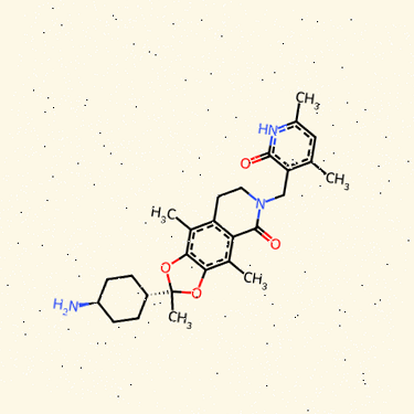 Cc1cc(C)c(CN2CCc3c(C)c4c(c(C)c3C2=O)OC(C)([C@H]2CC[C@H](N)CC2)O4)c(=O)[nH]1